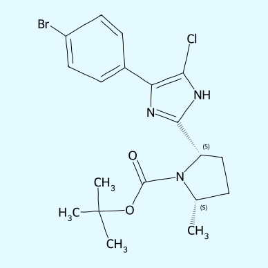 C[C@H]1CC[C@@H](c2nc(-c3ccc(Br)cc3)c(Cl)[nH]2)N1C(=O)OC(C)(C)C